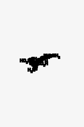 CC1(C)[C@H](NC(=O)/C(=N\O[C@](C)(C(=O)O)[C@H]2CCc3cc(C(=N)N[C@H]4CC5(C[C@H](CN)C5)C4)ccc3O2)c2csc(N)n2)C(=O)N1OS(=O)(=O)O